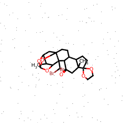 CC1C2CC34CCC5C6CCC7(OCCO7)C6(C)CC(=O)C5C3(C(Br)Br)C1OC(O2)O4